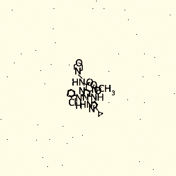 CO[N+](=O)c1c(Nc2cc(C3CC3)n[nH]2)nc(Nc2ccccc2Cl)nc1C(=O)NCCN1CCOCC1